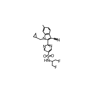 Cc1ccc2c(C#N)c(-c3ncc(S(=O)(=O)NC(CF)CF)cn3)n(CC3CC3)c2c1